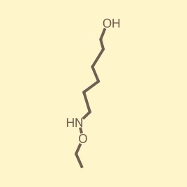 CCONCCCCCCO